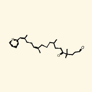 CC(=Cc1ccccn1)CCC=C(C)CCCC(C)CCC(=O)C(C)(C)CCC=O